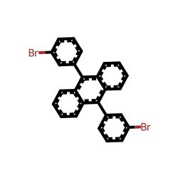 Brc1cccc(-c2c3ccccc3c(-c3cccc(Br)c3)c3ccccc23)c1